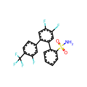 NS(=O)(=O)c1ccccc1-c1cc(F)c(F)cc1-c1ccc(C(F)(F)F)c(F)c1